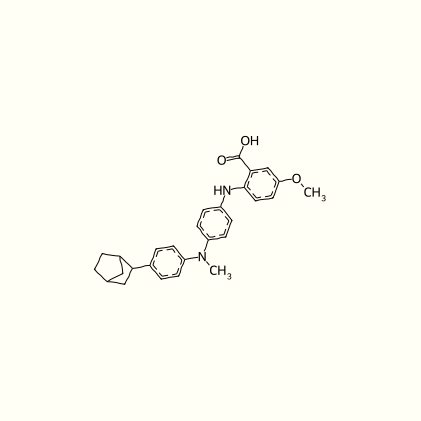 COc1ccc(Nc2ccc(N(C)c3ccc(C4CC5CCC4C5)cc3)cc2)c(C(=O)O)c1